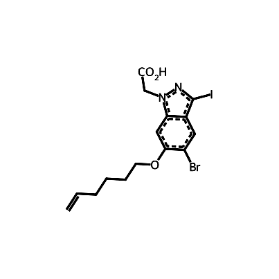 C=CCCCCOc1cc2c(cc1Br)c(I)nn2CC(=O)O